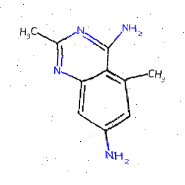 Cc1nc(N)c2c(C)cc(N)cc2n1